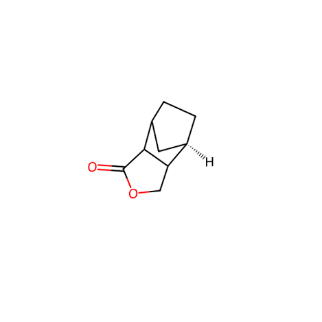 O=C1OCC2C1C1CC[C@@H]2C1